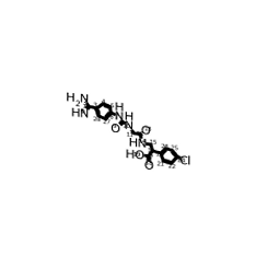 N=C(N)c1ccc(NC(=O)NCC(=O)NCC(C(=O)O)c2ccc(Cl)cc2)cc1